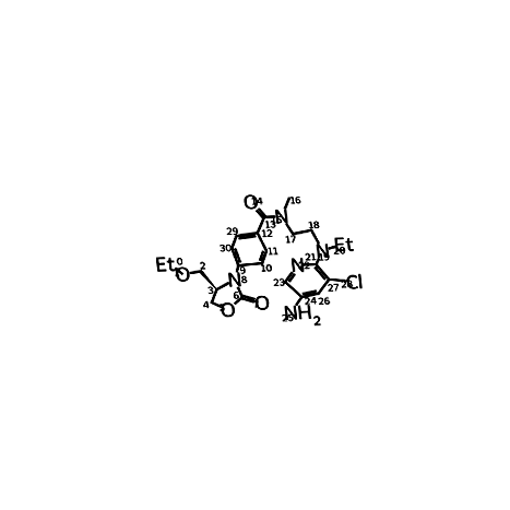 CCOC[C@@H]1COC(=O)N1c1ccc(C(=O)N(C)CCN(CC)c2ncc(N)cc2Cl)cc1